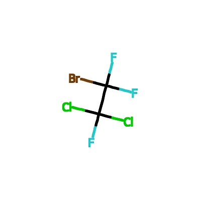 FC(Cl)(Cl)C(F)(F)Br